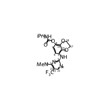 CNc1nc(Nc2ccc(OC(=O)NC(C)C)c3c2OCCO3)ncc1C(F)(F)F